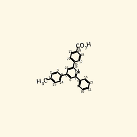 Cc1ccc(-c2cc(-c3ccccc3)nc(-c3ccc(C(=O)O)cc3)c2)cc1